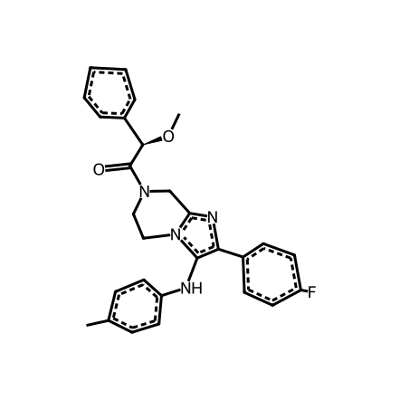 CO[C@@H](C(=O)N1CCn2c(nc(-c3ccc(F)cc3)c2Nc2ccc(C)cc2)C1)c1ccccc1